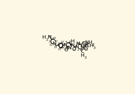 CC1CN(C(=O)Nc2ccn(-c3ccc(CN4CCC(N)CC4)cc3)c(=O)n2)CCN1C(=O)C(C)(C)N